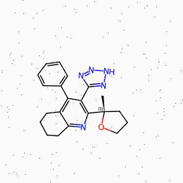 C[C@@]1(c2nc3c(c(-c4ccccc4)c2-c2nn[nH]n2)CCCC3)CCCO1